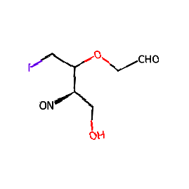 O=CCOC(CI)[C@@H](CO)N=O